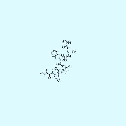 C=CCNC(=O)C(=O)C(CC1CC1)NC(=O)[C@@H]1[C@@H]2[C@H](CN1C(=O)[C@@H](NC(=O)N[C@H](COC(=O)NC(C)C)C(C)C)C1Cc3ccccc3C1)C2(C)C